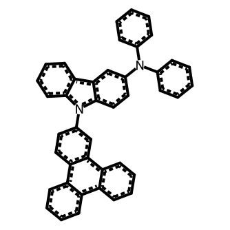 c1ccc(N(c2ccccc2)c2ccc3c(c2)c2ccccc2n3-c2ccc3c4ccccc4c4ccccc4c3c2)cc1